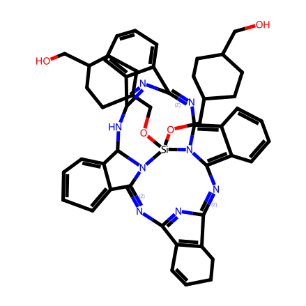 OCC1CCC(CO[Si]2(OCC3CCC(CO)CC3)N3/C4=N\C5=NC(=N\c6c7ccccc7c(n62)/N=C2\N=C(NC3c3ccccc34)c3ccccc32)/C2=C5C=CCC2)CC1